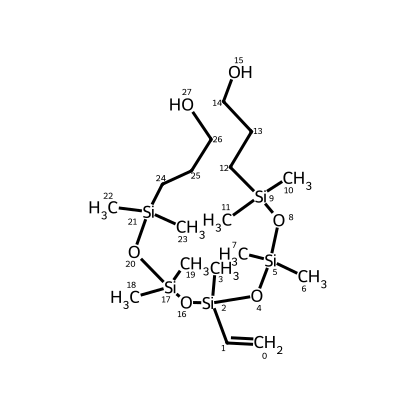 C=C[Si](C)(O[Si](C)(C)O[Si](C)(C)CCCO)O[Si](C)(C)O[Si](C)(C)CCCO